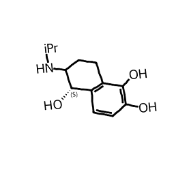 CC(C)NC1CCc2c(ccc(O)c2O)[C@@H]1O